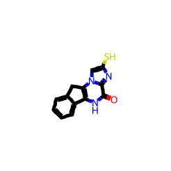 O=c1[nH]c2c(n3cc(S)nc13)Cc1ccccc1-2